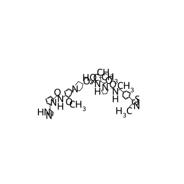 CCc1ncsc1-c1ccc([C@H](C)NC(=O)[C@@H]2CCCN2C(=O)[C@@H](NC(=O)COC2CCN(c3ccc(NC(=O)c4cccc(-c5ccn[nH]5)n4)c(OC)c3)CC2)C(C)(C)C)cc1